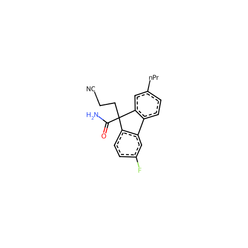 CCCc1ccc2c(c1)C(CCC#N)(C(N)=O)c1ccc(F)cc1-2